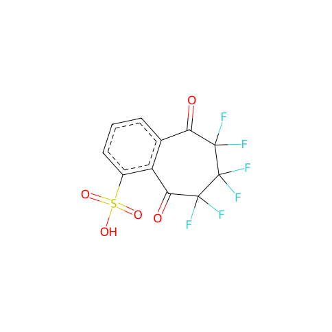 O=C1c2cccc(S(=O)(=O)O)c2C(=O)C(F)(F)C(F)(F)C1(F)F